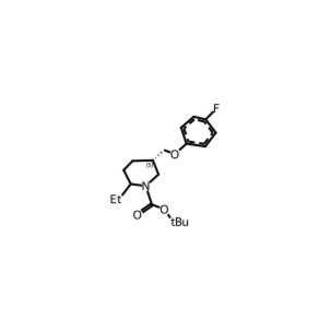 CCC1CC[C@H](COc2ccc(F)cc2)CN1C(=O)OC(C)(C)C